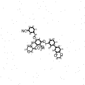 Cc1c(COc2cc(OCc3cccc(C#N)c3)c(CN3CCOCC3C(=O)O)cc2Cl)cccc1-c1ccc2c(c1)OCCO2